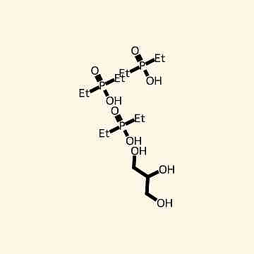 CCP(=O)(O)CC.CCP(=O)(O)CC.CCP(=O)(O)CC.OCC(O)CO